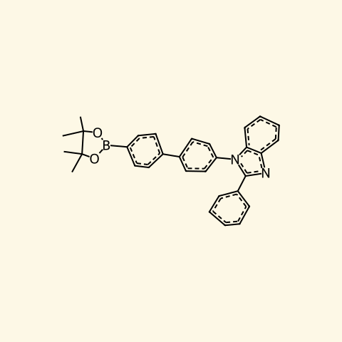 CC1(C)OB(c2ccc(-c3ccc(-n4c(-c5ccccc5)nc5ccccc54)cc3)cc2)OC1(C)C